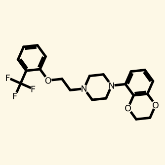 FC(F)(F)c1ccccc1OCCN1CCN(c2cccc3c2OCCO3)CC1